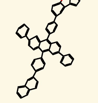 c1ccc(-c2ccc3c(-c4ccc(-c5ccc6oc7ccccc7c6c5)cc4)c4cc(-c5ccccc5)ccc4c(-c4ccc(-c5ccc6ccccc6c5)cc4)c3c2)cc1